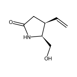 C=C[C@@H]1CC(=O)N[C@@H]1CO